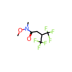 CON(C)C(=O)CC(C(F)(F)F)C(F)(F)F